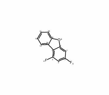 Fc1cc(F)c2c(c1)oc1ccccc12